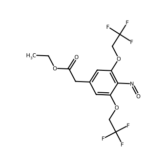 CCOC(=O)Cc1cc(OCC(F)(F)F)c(N=O)c(OCC(F)(F)F)c1